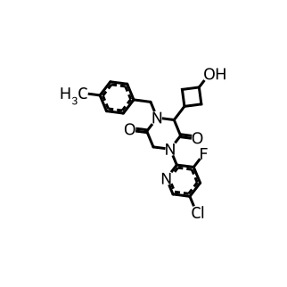 Cc1ccc(CN2C(=O)CN(c3ncc(Cl)cc3F)C(=O)C2C2CC(O)C2)cc1